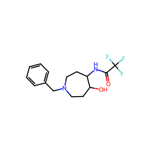 O=C(NC1CCN(Cc2ccccc2)CCC1O)C(F)(F)F